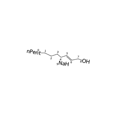 CCCCCCCCCC=CCO.[NaH]